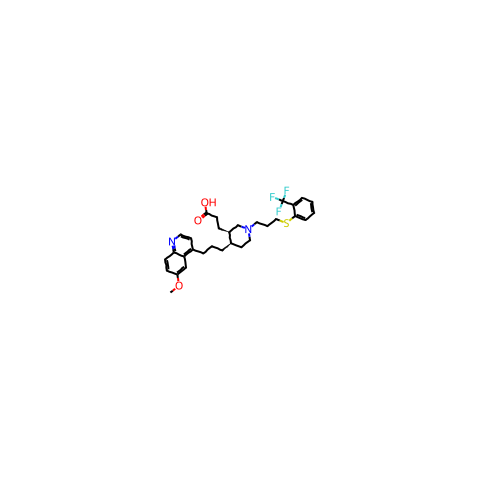 COc1ccc2nccc(CCC[C@@H]3CCN(CCCSc4ccccc4C(F)(F)F)C[C@@H]3CCC(=O)O)c2c1